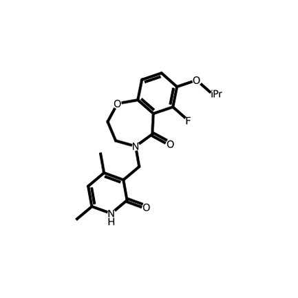 Cc1cc(C)c(CN2CCOc3ccc(OC(C)C)c(F)c3C2=O)c(=O)[nH]1